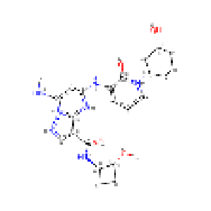 CNc1cc(Nc2cccn([C@H]3CCC[C@@H](O)C3)c2=O)nc2c(C(=O)N[C@@H]3CC[C@H]3OC)cnn12